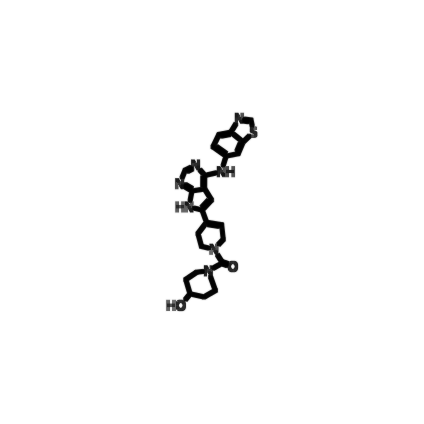 O=C(N1CC=C(c2cc3c(Nc4ccc5ncsc5c4)ncnc3[nH]2)CC1)N1CCC(O)CC1